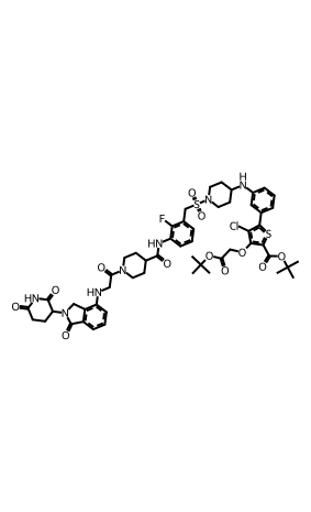 CC(C)(C)OC(=O)COc1c(C(=O)OC(C)(C)C)sc(-c2cccc(NC3CCN(S(=O)(=O)Cc4cccc(NC(=O)C5CCN(C(=O)CNc6cccc7c6CN(C6CCC(=O)NC6=O)C7=O)CC5)c4F)CC3)c2)c1Cl